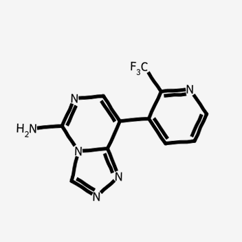 Nc1ncc(-c2cccnc2C(F)(F)F)c2nncn12